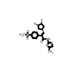 Cc1csc(NC(=O)/C(=C/[C@H]2C[C@@H](F)[C@@H](F)C2)c2ccc(S(C)(=O)=O)cc2)n1